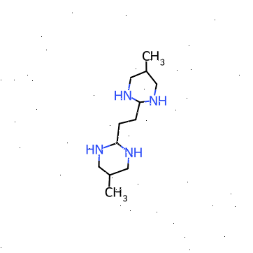 CC1CNC(CCC2NCC(C)CN2)NC1